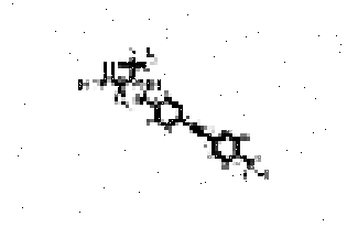 CC(C)(N)[C@H](NC(=O)c1ccc(C#Cc2ccc(CO)cc2)cc1)C(=O)NO